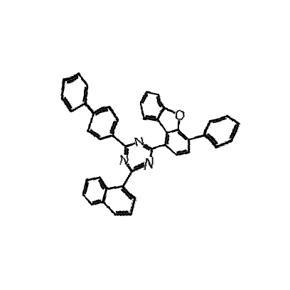 c1ccc(-c2ccc(-c3nc(-c4cccc5ccccc45)nc(-c4ccc(-c5ccccc5)c5oc6ccccc6c45)n3)cc2)cc1